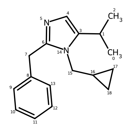 CC(C)c1cnc(Cc2ccccc2)n1CC1CC1